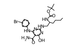 CCCCC(CNc1nc(O)c(C(N)=O)c(Nc2cccc(Br)c2)n1)NC(=O)OC(C)(C)C